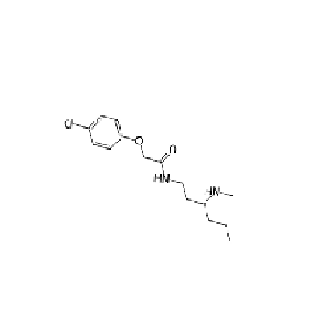 CCCC(CCNC(=O)COc1ccc(Cl)cc1)NC